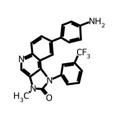 Cn1c(=O)n(-c2cccc(C(F)(F)F)c2)c2c3cc(-c4ccc(N)cc4)ccc3ncc21